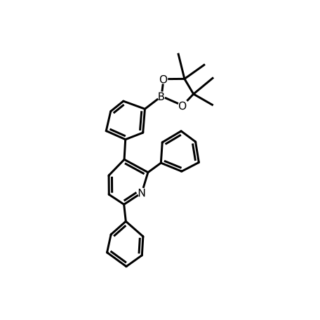 CC1(C)OB(c2cccc(-c3ccc(-c4ccccc4)nc3-c3ccccc3)c2)OC1(C)C